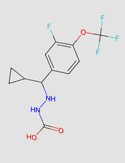 O=C(O)NNC(c1ccc(OC(F)(F)F)c(F)c1)C1CC1